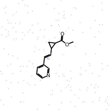 COC(=O)C1CC1/C=C/c1cccnc1